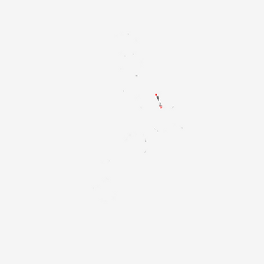 CC1(C)c2cc(N(c3ccc(-c4ccc5ccccc5c4)cc3)c3ccccc3-c3ccccc3)ccc2-c2cc3ccccc3cc21